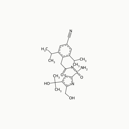 CC(C)c1cc(C#N)cc(C(C)C)c1CC(=O)N=S(N)(=O)c1nc(CO)c(C(C)(C)O)s1